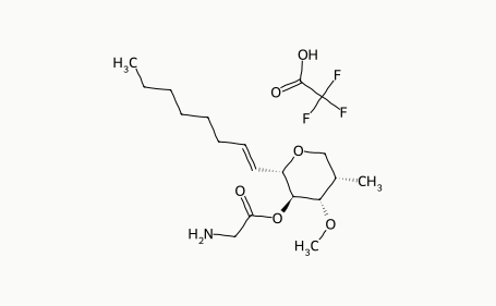 CCCCCCC=C[C@@H]1OC[C@H](C)[C@H](OC)[C@H]1OC(=O)CN.O=C(O)C(F)(F)F